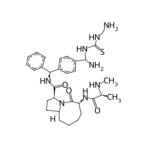 CN[C@@H](C)C(=O)N[C@H]1CCCC[C@H]2CC[C@@H](C(=O)N[C@@H](c3ccccc3)c3ccc(C(N)NC(=S)NCN)cc3)N2C1=O